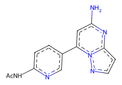 CC(=O)Nc1ccc(-c2cc(N)nc3ccnn23)cn1